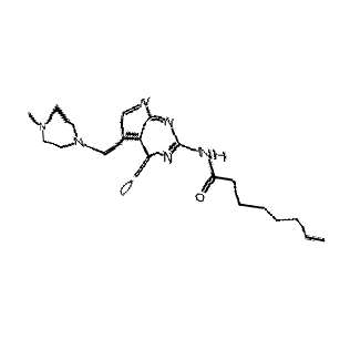 CCCCCCCC(=O)NC1=NC(=O)C2=C(CN3CCN(C)CC3)C=NC2=N1